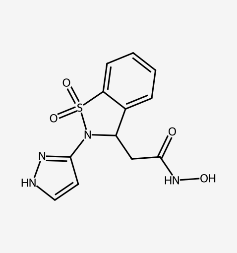 O=C(CC1c2ccccc2S(=O)(=O)N1c1cc[nH]n1)NO